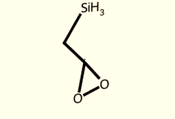 [SiH3]C[C]1OO1